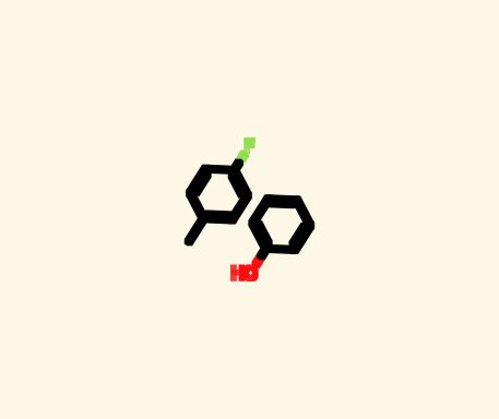 Cc1ccc(F)cc1.Oc1ccccc1